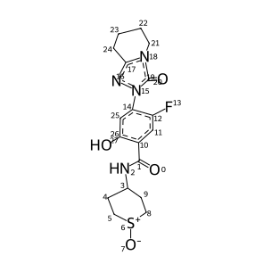 O=C(NC1CC[S+]([O-])CC1)c1cc(F)c(-n2nc3n(c2=O)CCCC3)cc1O